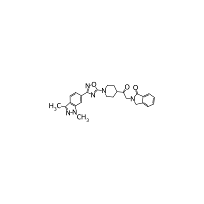 Cc1nn(C)c2cc(-c3noc(N4CCC(C(=O)CN5Cc6ccccc6C5=O)CC4)n3)ccc12